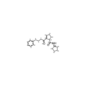 O=C(CCCc1ccccc1)C1=CCCC1C(=O)NN1CCCC1